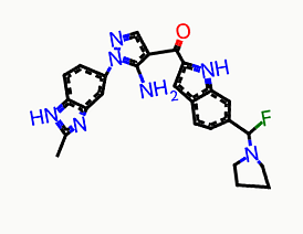 Cc1nc2cc(-n3ncc(C(=O)c4cc5ccc(C(F)N6CCCC6)cc5[nH]4)c3N)ccc2[nH]1